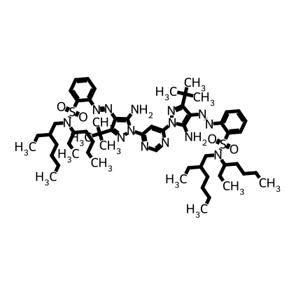 CCCCC(CC)CN(C(CC)CCCC)S(=O)(=O)c1ccccc1/N=N/c1c(C(C)(C)C)nn(-c2cc(-n3nc(C(C)(C)C)c(/N=N/c4ccccc4S(=O)(=O)N(CC(CC)CCCC)C(CC)CCCC)c3N)ncn2)c1N